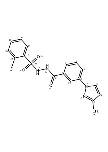 Cc1ccn(-c2cccc(C(=O)NNS(=O)(=O)c3ccccc3F)c2)n1